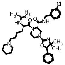 CC(C)N[C@H](CCCCN1CCCCC1)C(=O)N1CCN(C2=NC(C)(C)C(c3ccccc3)O2)C[C@H]1C(=O)NCc1cccc(Cl)c1